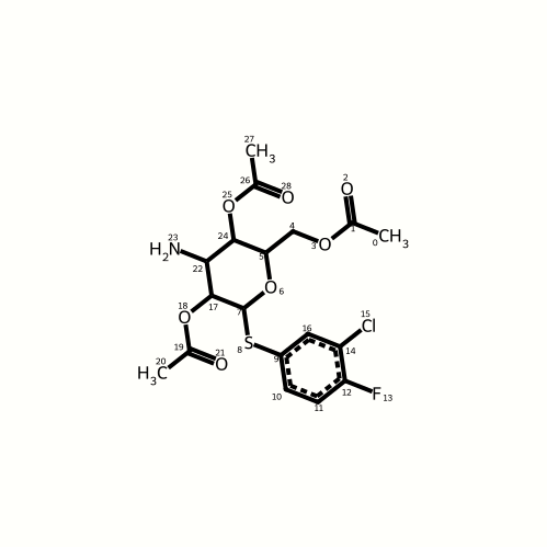 CC(=O)OCC1OC(Sc2ccc(F)c(Cl)c2)C(OC(C)=O)C(N)C1OC(C)=O